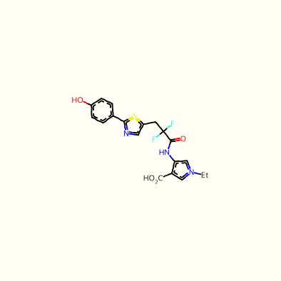 CCn1cc(NC(=O)C(F)(F)Cc2cnc(-c3ccc(O)cc3)s2)c(C(=O)O)c1